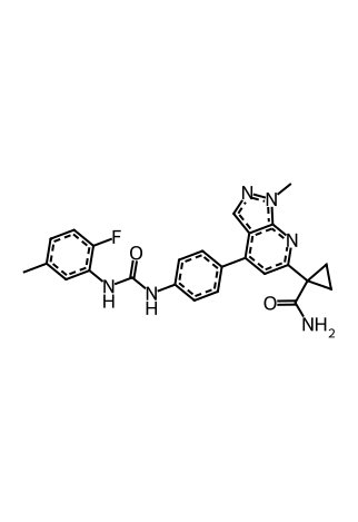 Cc1ccc(F)c(NC(=O)Nc2ccc(-c3cc(C4(C(N)=O)CC4)nc4c3cnn4C)cc2)c1